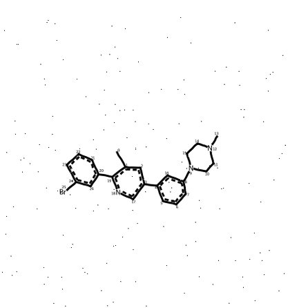 Cc1cc(-c2cccc(N3CCN(C)CC3)c2)cnc1-c1cccc(Br)c1